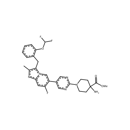 COC(=O)C1(N)CCN(c2ncc(-c3cn4c(Cc5ccccc5OC(F)F)c(C)nc4cc3F)cn2)CC1